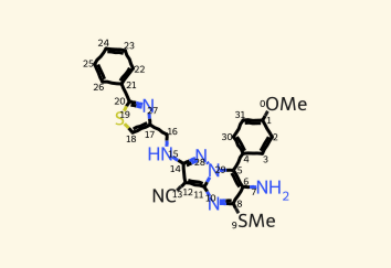 COc1ccc(-c2c(N)c(SC)nc3c(C#N)c(NCc4csc(-c5ccccc5)n4)nn23)cc1